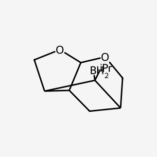 BC1(C(C)C)C2COC3OCC1C3C2